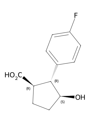 O=C(O)[C@@H]1CC[C@H](O)[C@H]1c1ccc(F)cc1